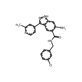 Cc1cc(-c2n[nH]c3cc(N)c(C(=O)NCc4cccc(Cl)c4)cc23)ccn1